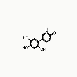 O=c1ccc(-c2cc(O)c(O)cc2O)c[nH]1